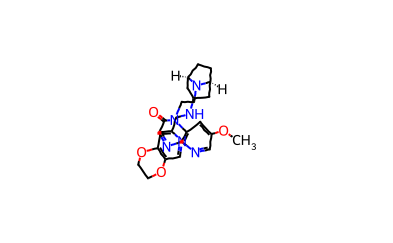 COc1cnc2ncc(=O)n(CCN3[C@@H]4CC[C@H]3CC(NCc3cc5c(cn3)OCCO5)C4)c2c1